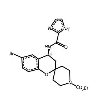 CCOC(=O)N1CCC2(CC1)C[C@H](NC(=O)c1ncc[nH]1)c1cc(Br)ccc1O2